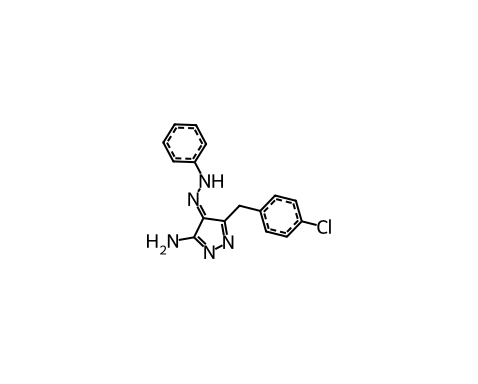 NC1=NN=C(Cc2ccc(Cl)cc2)/C1=N\Nc1ccccc1